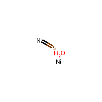 O.[Ni].[S]=[Ni]